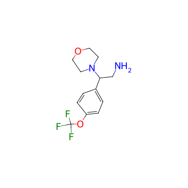 NCC(c1ccc(OC(F)(F)F)cc1)N1CCOCC1